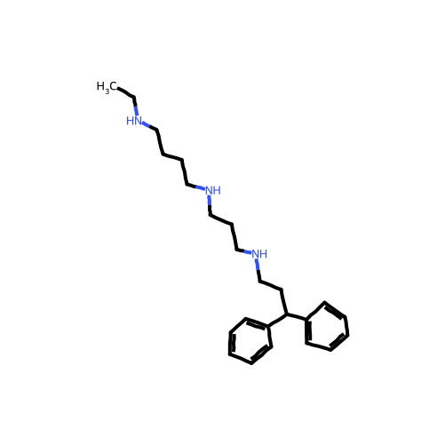 CCNCCCCNCCCNCCC(c1ccccc1)c1ccccc1